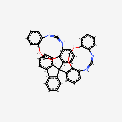 C1=Nc2ccccc2OCOc2c(cccc2C2(c3cccc4c3OCOc3ccccc3N=C=N4)c3ccccc3-c3ccccc32)N=1